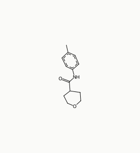 Cc1ccc(NC(=O)C2CCOCC2)cc1